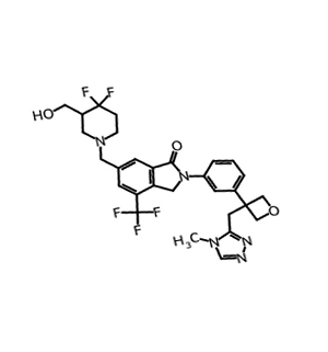 Cn1cnnc1CC1(c2cccc(N3Cc4c(cc(CN5CCC(F)(F)C(CO)C5)cc4C(F)(F)F)C3=O)c2)COC1